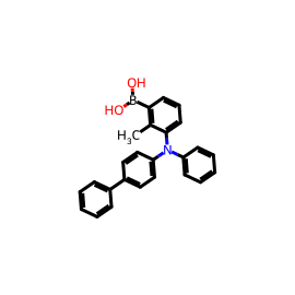 Cc1c(B(O)O)cccc1N(c1ccccc1)c1ccc(-c2ccccc2)cc1